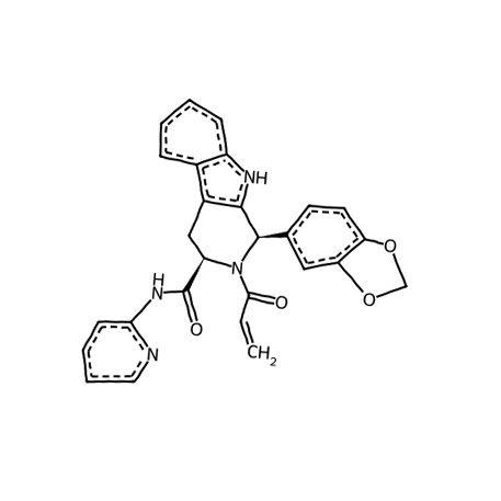 C=CC(=O)N1[C@H](c2ccc3c(c2)OCO3)c2[nH]c3ccccc3c2C[C@@H]1C(=O)Nc1ccccn1